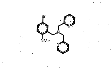 CNc1ccc(Br)cc1CN(Cc1ccccn1)Cc1ccccn1